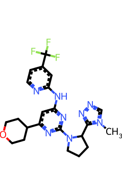 Cn1cnnc1C1CCCN1c1nc(Nc2cc(C(F)(F)F)ccn2)cc(C2CCOCC2)n1